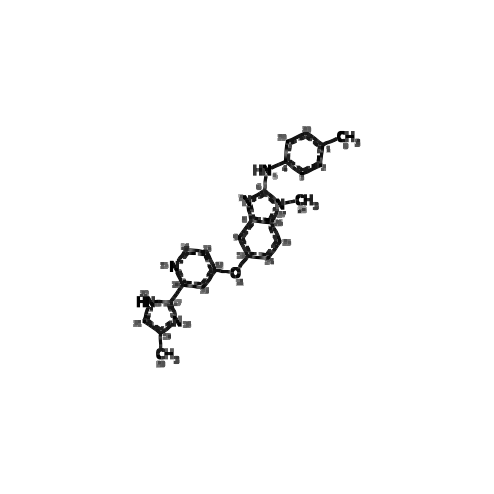 Cc1ccc(Nc2nc3cc(Oc4ccnc(-c5nc(C)c[nH]5)c4)ccc3n2C)cc1